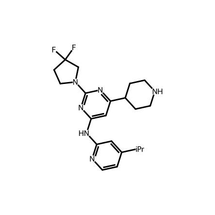 CC(C)c1ccnc(Nc2cc(C3CCNCC3)nc(N3CCC(F)(F)C3)n2)c1